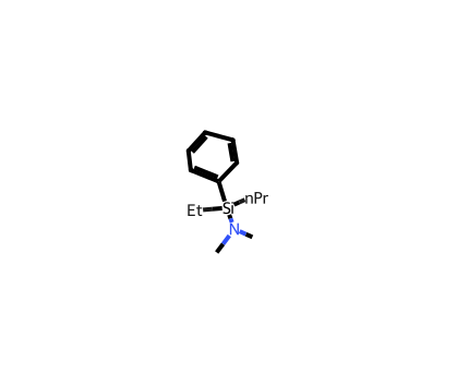 CCC[Si](CC)(c1ccccc1)N(C)C